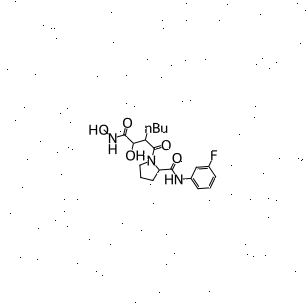 CCCCC(C(=O)N1CCCC1C(=O)Nc1cccc(F)c1)C(O)C(=O)NO